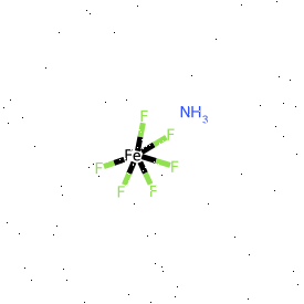 N.[F][Fe]([F])([F])([F])([F])[F]